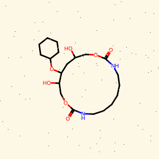 O=C1NCCCCCCNC(=O)OCC(O)C(OC2CCCCC2)CC(O)CO1